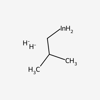 CC(C)[CH2][InH2].[H-].[H-]